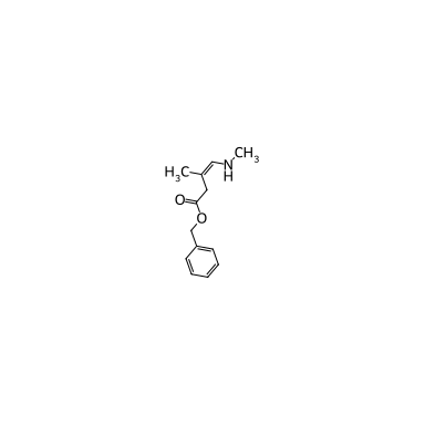 CN/C=C(/C)CC(=O)OCc1ccccc1